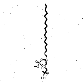 CCCCCCCCCCCCCCCCOC[C@H](COCC(F)(F)F)OP(=O)(O)OC.[LiH]